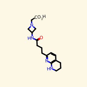 O=C(O)CN1CC(NC(=O)CCCc2ccc3c(n2)NCCC3)C1